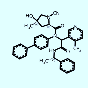 C[C@H](NC(=O)C(c1cnccc1C(F)(F)F)N(C(=O)[C@H]1C[C@@](C)(O)CN1C#N)c1ccc(-c2ccccc2)cc1)c1ccccc1